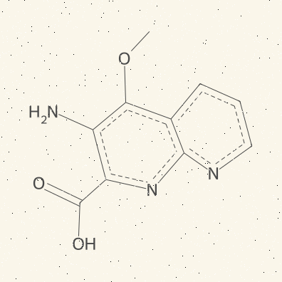 COc1c(N)c(C(=O)O)nc2ncccc12